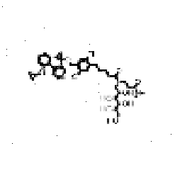 CN(C)C(=O)CCN(C[C@H](O)[C@@H](O)[C@H](O)[C@H](O)CO)C(=O)CCCCc1cc(Cl)c(COC2(c3cnccc3-c3ccccc3OC3CC3)CC2)cc1Cl